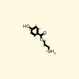 O=C(OCCC[SiH3])c1ccc(O)cc1